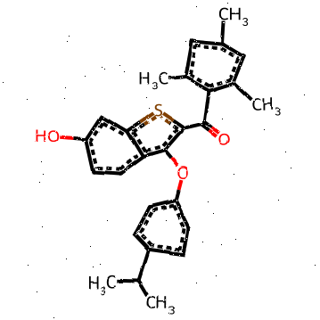 Cc1cc(C)c(C(=O)c2sc3cc(O)ccc3c2Oc2ccc(C(C)C)cc2)c(C)c1